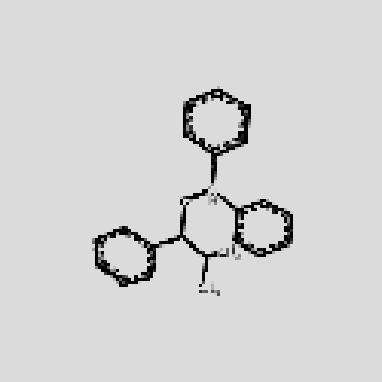 CC(C)C(O[SiH](c1ccccc1)c1ccccc1)c1ccccc1